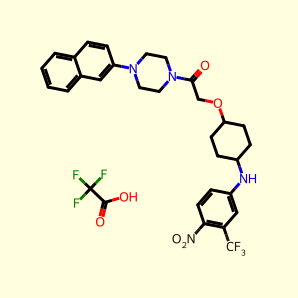 O=C(COC1CCC(Nc2ccc([N+](=O)[O-])c(C(F)(F)F)c2)CC1)N1CCN(c2ccc3ccccc3c2)CC1.O=C(O)C(F)(F)F